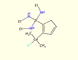 CC[NH][Zr]([NH]CC)([NH]CC)[C]1=[C]([Ge]([CH3])([CH3])[F])C=CC1